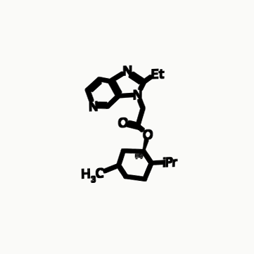 CCc1nc2ccncc2n1CC(=O)O[C@@H]1CC(C)CCC1C(C)C